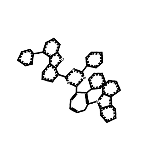 C1=CCC(n2c3ccccc3c3ccccc32)=C(c2ccccc2)C(c2nc(-c3ccccc3)nc(-c3cccc4c3oc3cccc(-c5ccccc5)c34)n2)=C1